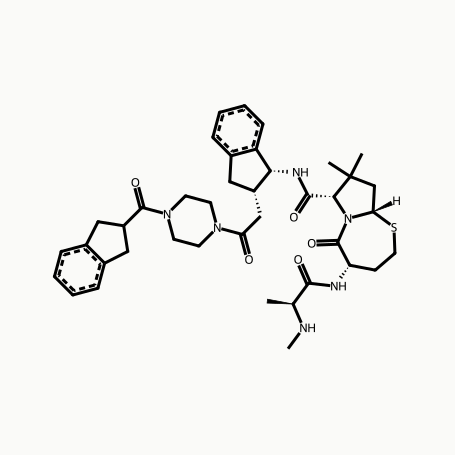 CN[C@@H](C)C(=O)N[C@H]1CCS[C@H]2CC(C)(C)[C@@H](C(=O)N[C@H]3c4ccccc4C[C@H]3CC(=O)N3CCN(C(=O)C4Cc5ccccc5C4)CC3)N2C1=O